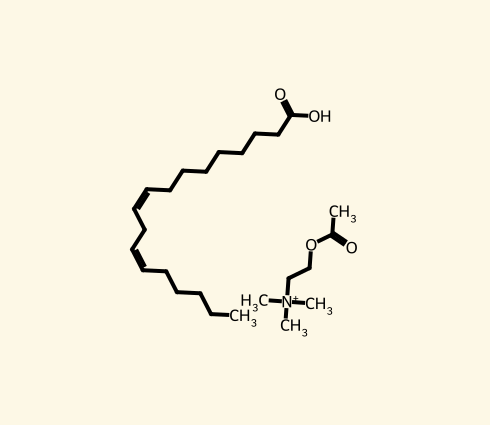 CC(=O)OCC[N+](C)(C)C.CCCCC/C=C\C/C=C\CCCCCCCC(=O)O